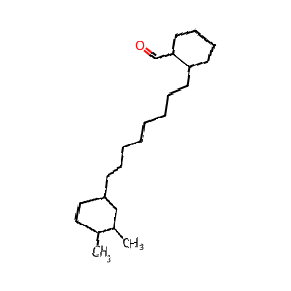 CC1CCC(CCCCCCCCC2CCCCC2C=O)CC1C